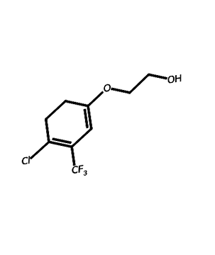 OCCOC1=CC(C(F)(F)F)=C(Cl)CC1